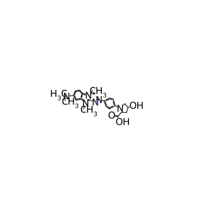 CN(C)c1ccc2c(c1)n(C)c(/N=N/c1ccc(N3CC(O)CC3C(=O)O)cc1)[n+]2C